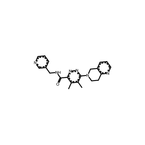 Cc1c(C(=O)NCc2cccnc2)nnc(N2CCc3ncccc3C2)c1C